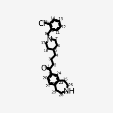 O=C(CCCC1CCN(Cc2ccccc2Cl)CC1)c1ccc2c(c1)CCNCC2